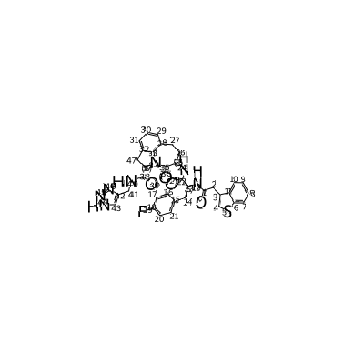 O=C(Cc1csc2ccccc12)N[C@@H](Cc1ccc(F)cc1)C(=O)N[C@H]1CCc2cccc3c2N(C1=O)[C@H](C(=O)NCc1c[nH]nn1)C3